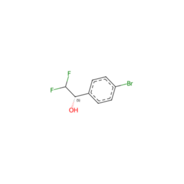 O[C@@H](c1ccc(Br)cc1)C(F)F